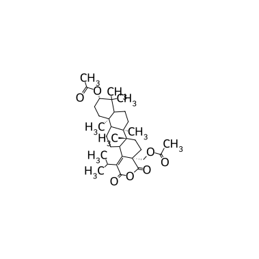 CC(=O)OC[C@@]12CC[C@]3(C)C(CCC4[C@@]5(C)CC[C@H](OC(C)=O)C(C)(C)C5CC[C@]43C)C1=C(C(C)C)C(=O)OC2=O